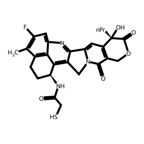 CCC[C@@]1(O)C(=O)OCc2c1cc1n(c2=O)Cc2c-1nc1cc(F)c(C)c3c1c2[C@@H](NC(=O)CS)CC3